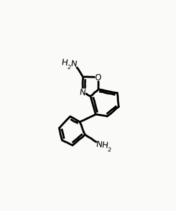 Nc1nc2c(-c3ccccc3N)cccc2o1